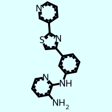 Nc1cccnc1Nc1cccc(-c2csc(-c3cccnc3)n2)c1